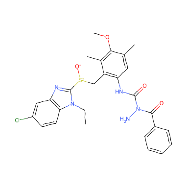 CCn1c([S+]([O-])Cc2c(NC(=O)N(N)C(=O)c3ccccc3)cc(C)c(OC)c2C)nc2cc(Cl)ccc21